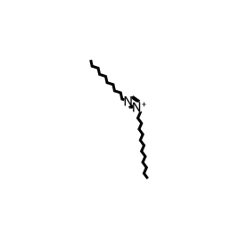 CCCCCCCCCCCCC[n+]1ccn(CCCCCCCCCC)c1